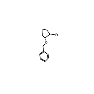 CC(C)[C@@H]1CCC[C@H]1OCc1ccccc1